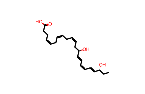 CC[C@@H](O)/C=C/C=C\C=C\[C@H](O)C/C=C\C/C=C\C/C=C\CCC(=O)O